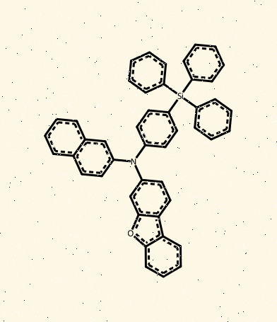 c1ccc([Si](c2ccccc2)(c2ccccc2)c2ccc(N(c3ccc4ccccc4c3)c3ccc4c(c3)oc3ccccc34)cc2)cc1